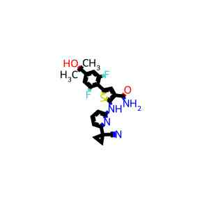 CC(C)(O)c1cc(F)c(-c2cc(C(N)=O)c(Nc3cccc(C4(C#N)CC4)n3)s2)c(F)c1